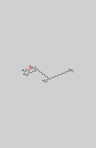 CCCCCCCCCCCCC(C)CCCCCCCC(C)CCCC(C)C(C)O